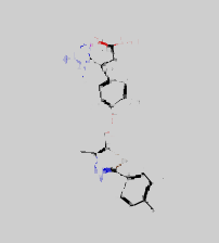 Cc1ccc(-c2nc(C)c(COc3ccc(C(CC(=O)O)c4nnnn4C)cc3)s2)cc1